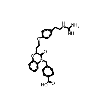 N=C(N)NCCc1ccc(OCCC2Oc3ccccc3N(Cc3ccc(C(=O)O)cc3)C2=O)cc1